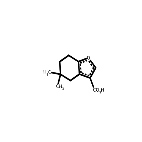 CC1(C)CCc2occ(C(=O)O)c2C1